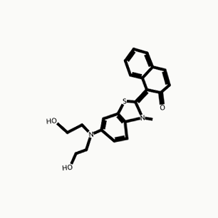 CN1/C(=C2\C(=O)C=Cc3ccccc32)Sc2cc(N(CCO)CCO)ccc21